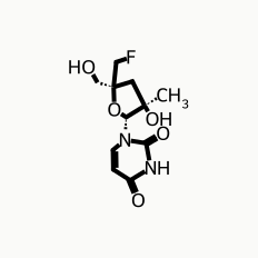 C[C@@]1(O)C[C@](CO)(CF)O[C@H]1n1ccc(=O)[nH]c1=O